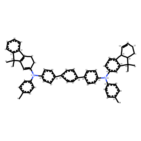 Cc1ccc(N(C2=CC3=C(CC2)c2ccccc2C3(C)C)c2ccc(-c3ccc(-c4ccc(N(c5ccc(C)cc5)c5ccc6c(c5)C(C)(C)C5CCC=CC65)cc4)cc3)cc2)cc1